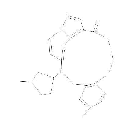 CN1CCC(N2Cc3cc(F)ccc3OCCNC(=O)c3cnn4ccc2nc34)C1